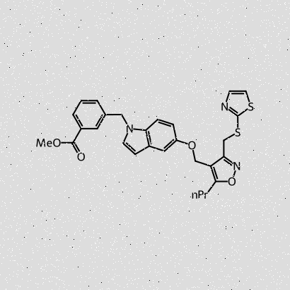 CCCc1onc(CSc2nccs2)c1COc1ccc2c(ccn2Cc2cccc(C(=O)OC)c2)c1